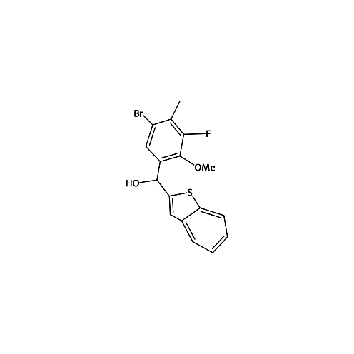 COc1c(C(O)c2cc3ccccc3s2)cc(Br)c(C)c1F